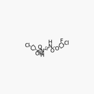 O=C(COc1ccc(Cl)c(F)c1)NC12CC(NC(=O)[C@H](O)c3ccc(Cl)cc3)(C1)C2